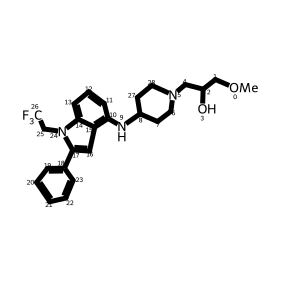 COCC(O)CN1CCC(Nc2cccc3c2cc(-c2ccccc2)n3CC(F)(F)F)CC1